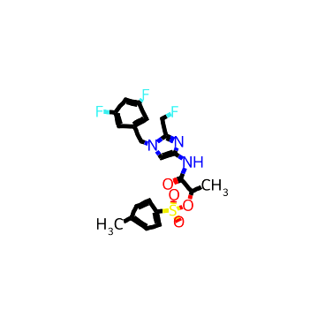 Cc1ccc(S(=O)(=O)OC(C)C(=O)Nc2cn(Cc3cc(F)cc(F)c3)c(CF)n2)cc1